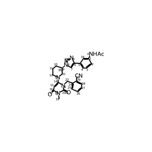 CC(=O)Nc1cccc(-c2cn([C@@H]3CCCN(c4cc(=O)n(C)c(=O)n4Cc4ccccc4C#N)C3)nn2)c1